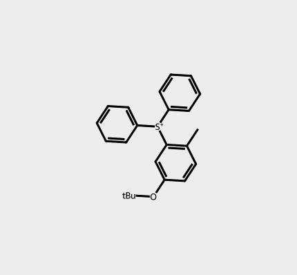 Cc1ccc(OC(C)(C)C)cc1[S+](c1ccccc1)c1ccccc1